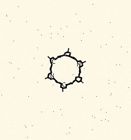 Cc1cc2c#cc3cc(C)cc(c#cc4cc(C)cc(c#cc5cc(C)cc(c#cc6cc(C)cc(c#cc7cc(C)cc(c#cc(c1)c2)n7)c6)c5)n4)c3